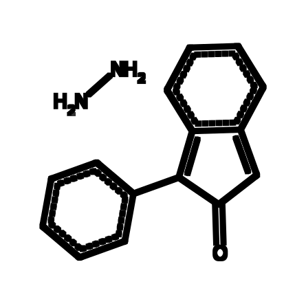 NN.O=C1C=c2ccccc2=C1c1ccccc1